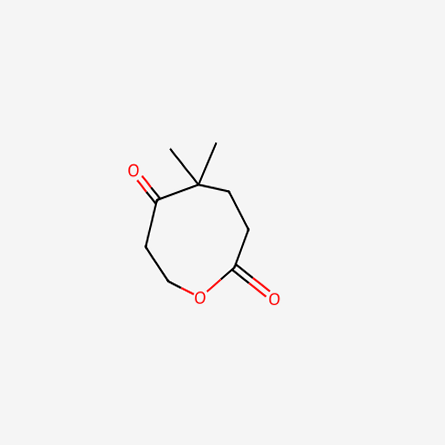 CC1(C)CCC(=O)OCCC1=O